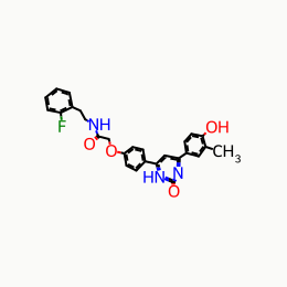 Cc1cc(-c2cc(-c3ccc(OCC(=O)NCCc4ccccc4F)cc3)[nH]c(=O)n2)ccc1O